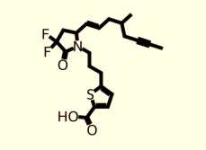 CC#CCC(C)C/C=C/C1CC(F)(F)C(=O)N1CCCc1ccc(C(=O)O)s1